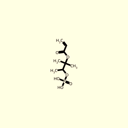 C=CC(=O)OC(C)(C)C(C)OP(=O)(O)O